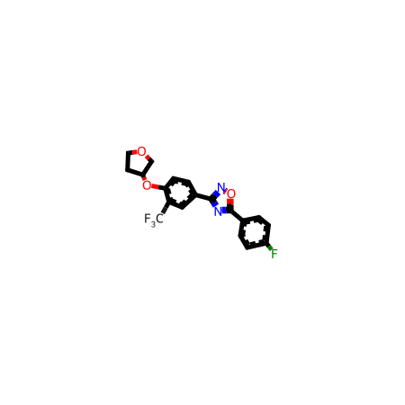 Fc1ccc(-c2nc(-c3ccc(OC4CCOC4)c(C(F)(F)F)c3)no2)cc1